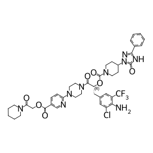 Nc1c(Cl)cc(C[C@@H](OC(=O)N2CCC(n3nc(-c4ccccc4)[nH]c3=O)CC2)C(=O)N2CCN(c3ccc(C(=O)OCC(=O)N4CCCCC4)cn3)CC2)cc1C(F)(F)F